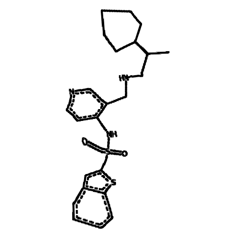 CC(CNCc1cnccc1NS(=O)(=O)c1cc2ccccc2s1)C1CCCCC1